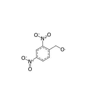 [O]Cc1ccc([N+](=O)[O-])cc1[N+](=O)[O-]